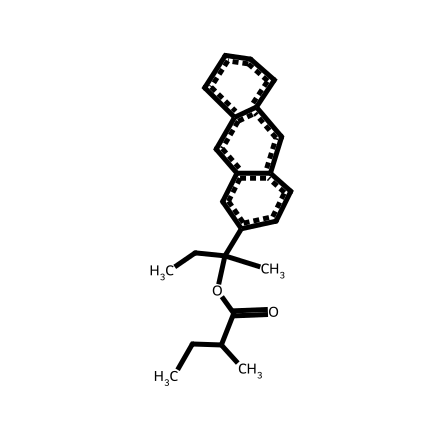 CCC(C)C(=O)OC(C)(CC)c1ccc2cc3ccccc3cc2c1